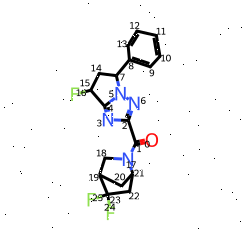 O=C(c1nc2n(n1)C(c1ccccc1)CC2F)N1CC2CC1CC2(F)F